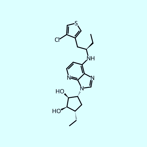 CC[C@H](Cc1cscc1Cl)Nc1ccnc2c1ncn2[C@@H]1C[C@H](CC)[C@@H](O)[C@H]1O